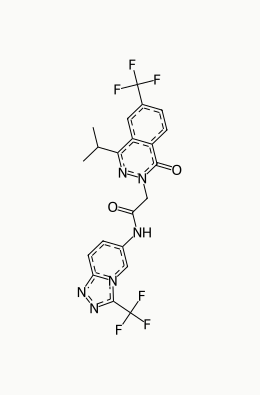 CC(C)c1nn(CC(=O)Nc2ccc3nnc(C(F)(F)F)n3c2)c(=O)c2ccc(C(F)(F)F)cc12